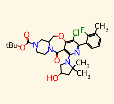 Cc1cccc(-c2nc(N3CC(O)CC3(C)C)c3c(c2Cl)OCC2CN(C(=O)OC(C)(C)C)CCN2C3=O)c1F